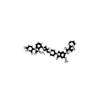 CC(C)Oc1cc2c(cc1NC(=O)c1cnn3cccnc13)CN(C1CCN(CC3(F)CN(c4cccc5c4n(C)c(=O)n5C4CCC(=O)NC4=O)C3)CC1)C2=O